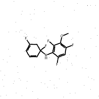 COc1c(F)cc(F)c(BC2(F)C=CC=C(F)C2)c1F